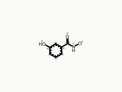 O=C(NCl)c1cccc(O)c1